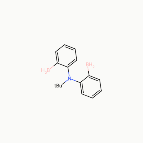 Bc1ccccc1N(c1ccccc1B)C(C)(C)C